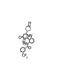 O=C(Nc1cccc2nn3c(C4CCNCC4)cc(=O)[nH]c3c12)c1cccc(C(F)(F)F)c1